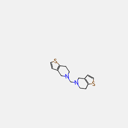 c1cc2c(s1)CCN(CN1CCc3sccc3C1)C2